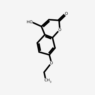 CCOc1ccc2c(O)cc(=O)oc2c1